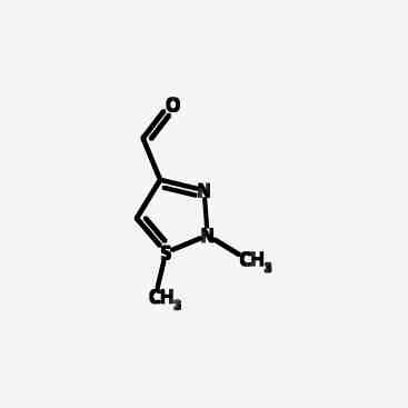 CN1N=C(C=O)C=S1C